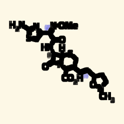 CO/N=C(\C(=O)N[C@@H]1C(=O)N2C(C(=O)O)=C(/C=C/C3CCN(C)O3)CS[C@@H]12)c1csc(N)n1